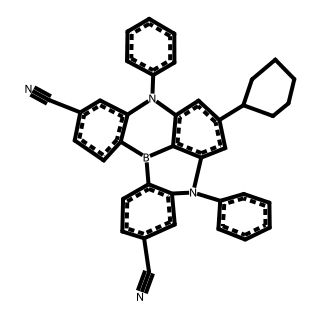 N#Cc1ccc2c(c1)N(c1ccccc1)c1cc(C3CCCCC3)cc3c1B2c1ccc(C#N)cc1N3c1ccccc1